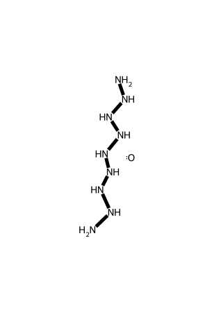 NNNNNNNNN.[O]